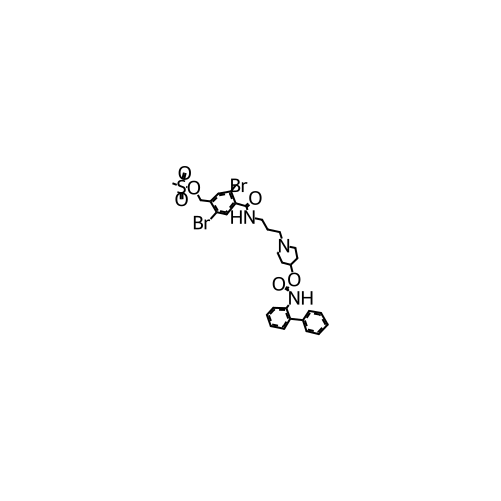 CS(=O)(=O)OCc1cc(Br)c(C(=O)NCCCN2CCC(OC(=O)Nc3ccccc3-c3ccccc3)CC2)cc1Br